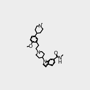 CNC(=O)c1ccc2ccn(C3CCN(CCc4cc(C5CCN(C)CC5)ccc4OC)CC3)c2c1